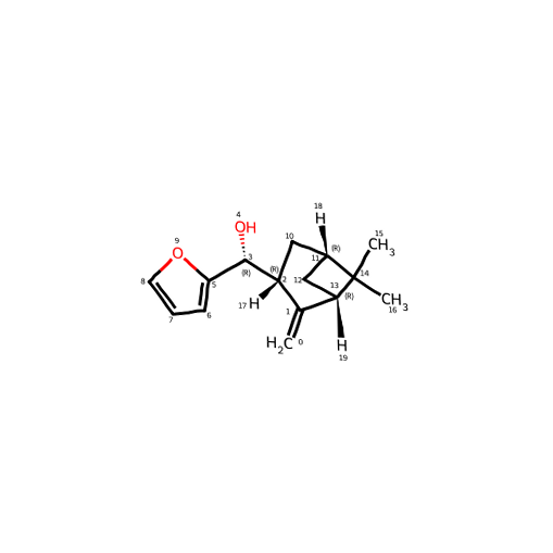 C=C1[C@H]([C@@H](O)c2ccco2)C[C@H]2C[C@@H]1C2(C)C